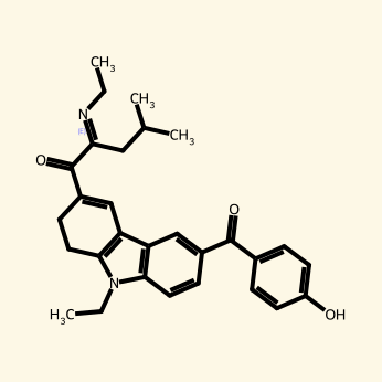 CC/N=C(\CC(C)C)C(=O)C1=Cc2c(n(CC)c3ccc(C(=O)c4ccc(O)cc4)cc23)CC1